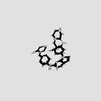 O=C1CNCCN1Cc1ccc(Nc2ncc3ccn(-c4cc(F)c(CN5CCOCC5)c(F)c4)c3n2)cc1